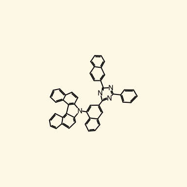 c1ccc(-c2nc(-c3ccc4ccccc4c3)nc(-c3cc(-n4c5ccc6ccccc6c5c5c6ccccc6ccc54)c4ccccc4c3)n2)cc1